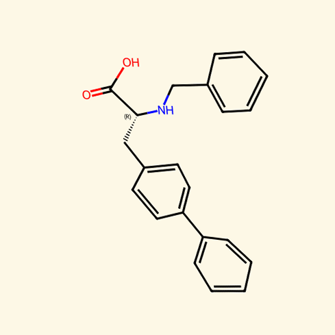 O=C(O)[C@@H](Cc1ccc(-c2ccccc2)cc1)NCc1ccccc1